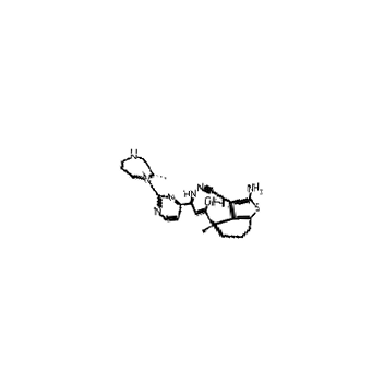 C[C@H]1CNCCCN1c1nccc(C(=N)/C=C(\O)[C@@]2(C)CCCc3sc(N)c(C#N)c32)n1